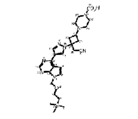 C[Si](C)(C)CCOCn1ccc2c(-c3cnn(C4(CC#N)CC(N5CCN(C(=O)O)CC5)C4)c3)ncnc21